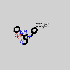 CCOC(=O)c1ccc(Cn2cc(C(=O)NC3CCCCC3O)c3ncccc32)cc1